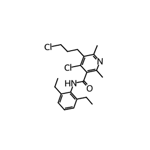 CCc1cccc(CC)c1NC(=O)c1c(C)nc(C)c(CCCCl)c1Cl